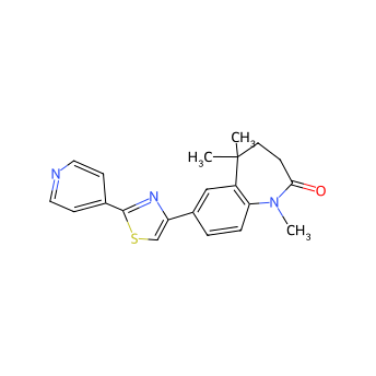 CN1C(=O)CCC(C)(C)c2cc(-c3csc(-c4ccncc4)n3)ccc21